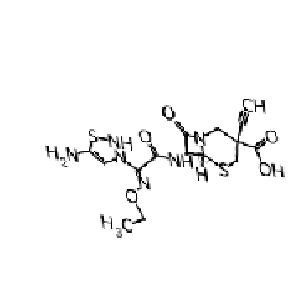 C#CC1(C(=O)O)CS[C@@H]2C(NC(=O)C(=NOCC)N3C=C(N)SN3)C(=O)N2C1